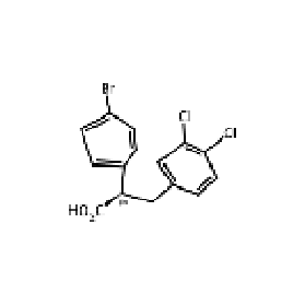 O=C(O)[C@H](Cc1ccc(Cl)c(Cl)c1)c1ccc(Br)cc1